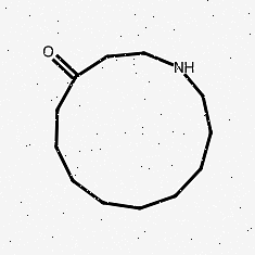 O=C1CCCCCCCCCNCC1